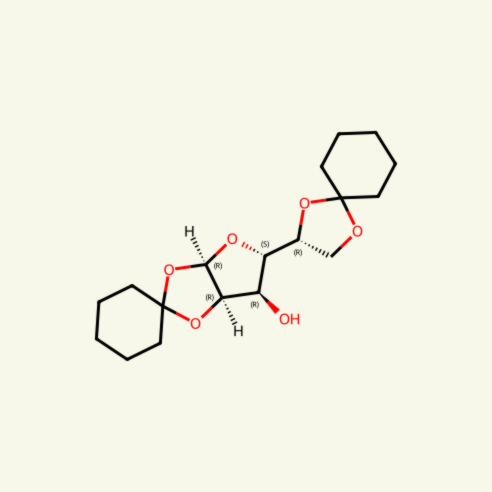 O[C@H]1[C@H]2OC3(CCCCC3)O[C@H]2O[C@@H]1[C@H]1COC2(CCCCC2)O1